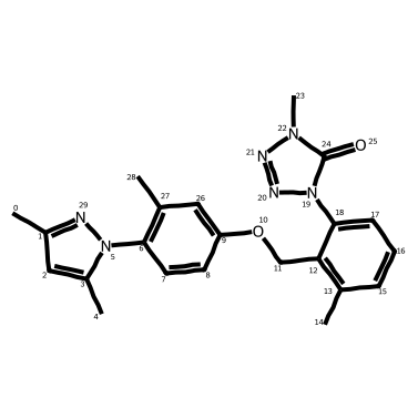 Cc1cc(C)n(-c2ccc(OCc3c(C)cccc3-n3nnn(C)c3=O)cc2C)n1